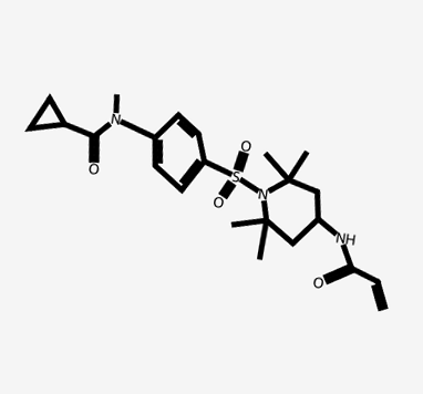 C=CC(=O)NC1CC(C)(C)N(S(=O)(=O)c2ccc(N(C)C(=O)C3CC3)cc2)C(C)(C)C1